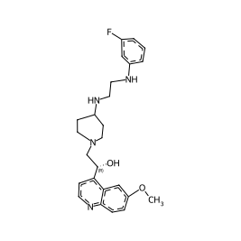 COc1ccc2nccc([C@@H](O)CN3CCC(NCCNc4cccc(F)c4)CC3)c2c1